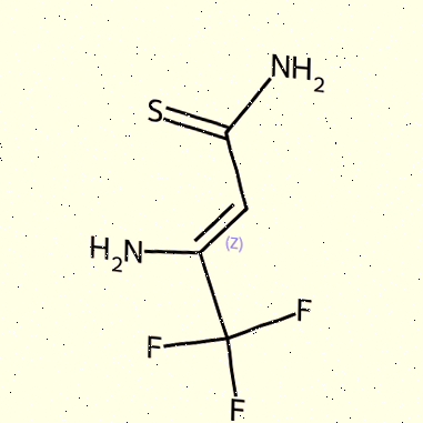 NC(=S)/C=C(\N)C(F)(F)F